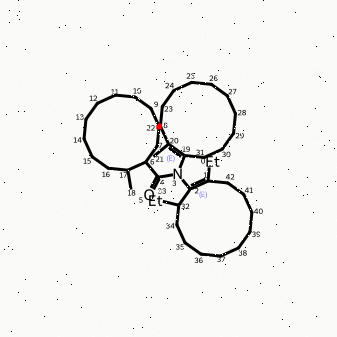 CC/C1=C(\N(C(=O)C2CCCCCCCCCCC2C)/C2=C(\C)CCCCCCCCCC2)C(CC)CCCCCCCCC1